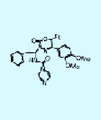 CCC1OC(=O)N(C(Cc2ccccc2)NC(=O)N2C=CN=CC2)N=C1c1ccc(OC)c(OC)c1